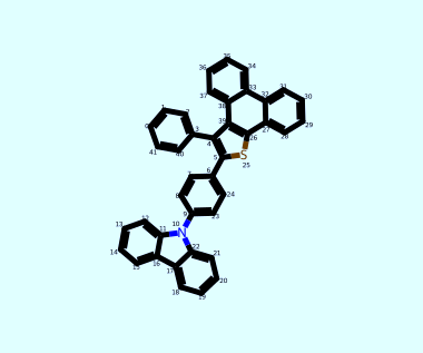 c1ccc(-c2c(-c3ccc(-n4c5ccccc5c5ccccc54)cc3)sc3c4ccccc4c4ccccc4c23)cc1